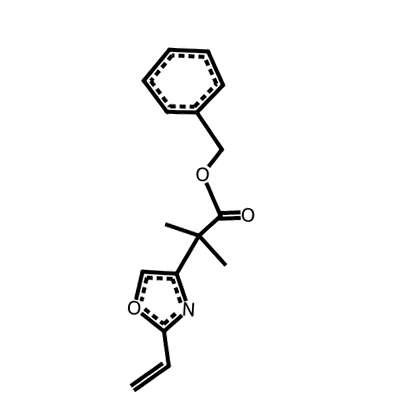 C=Cc1nc(C(C)(C)C(=O)OCc2ccccc2)co1